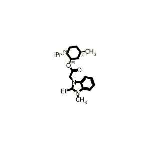 CCC1N(C)c2ccccc2N1CC(=O)O[C@@H]1C[C@H](C)CC[C@H]1C(C)C